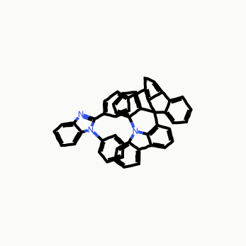 c1ccc(-n2c(-c3ccc(-c4cccc5c4C4(c6ccccc6-5)c5ccccc5-n5c6ccccc6c6cccc4c65)cc3)nc3ccccc32)cc1